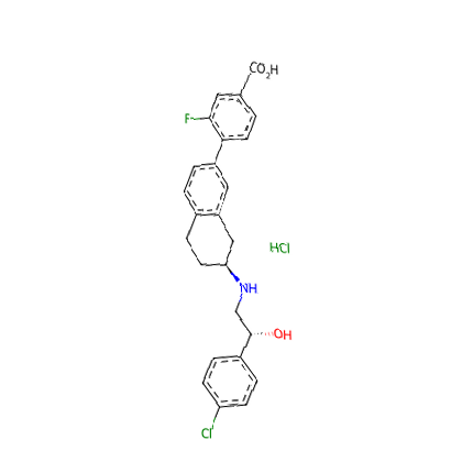 Cl.O=C(O)c1ccc(-c2ccc3c(c2)C[C@@H](NC[C@H](O)c2ccc(Cl)cc2)CC3)c(F)c1